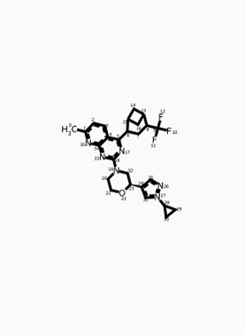 Cc1ccc2c(C3CC(C(F)(F)F)C4CC3C4)nc(N3CCO[C@H](c4cnn(C5CC5)c4)C3)nc2n1